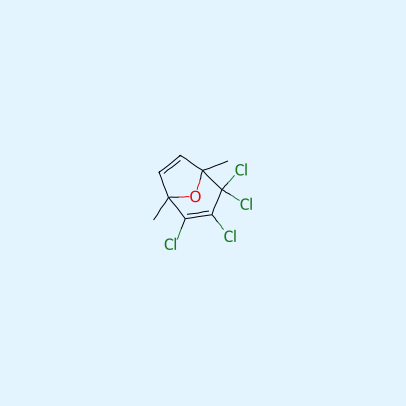 CC12C=CC(C)(O1)C(Cl)(Cl)C(Cl)=C2Cl